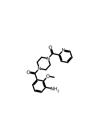 COc1c(N)cccc1C(=O)N1CCN(C(=O)c2ccccn2)CC1